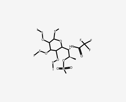 CSC1OC([C@H](NC(=O)C(F)(F)F)[C@@H](C)OS(C)(=O)=O)C(OSI)C(OSI)C1OSI